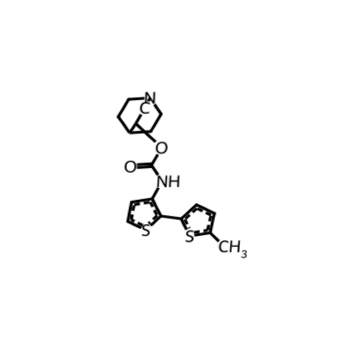 Cc1ccc(-c2sccc2NC(=O)OC2CN3CCC2CC3)s1